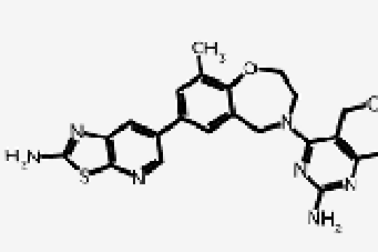 Cc1cc(-c2cnc3sc(N)nc3c2)cc2c1OCCN(c1nc(N)nc(Cl)c1CO)C2